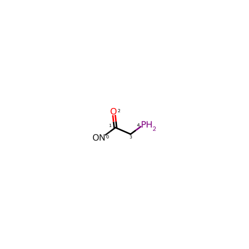 O=NC(=O)CP